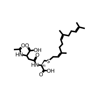 CC(=O)NC(CC(=O)N[C@@H](CSCC=C(C)CCC=C(C)CCC=C(C)C)C(=O)O)C(=O)O